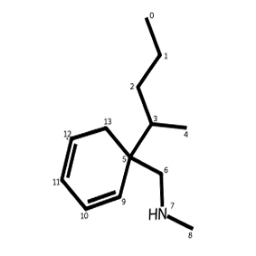 CCCC(C)C1(CNC)C=CC=[C]C1